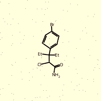 CCC(CC)(c1ccc(Br)cc1)C(Cl)C(N)=O